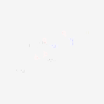 COC1(CCCNC(C)=O)OCC(C)(C)[C@H](C(=O)NCCC(=O)NCCS)O1